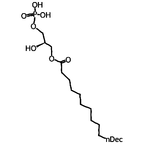 CCCCCCCCCCCCCCCCCCCC(=O)OC[C@@H](O)COP(=O)(O)O